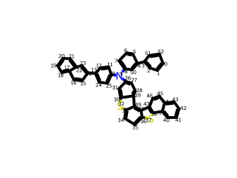 c1ccc(-c2cccc(N(c3ccc(-c4ccc5ccccc5c4)cc3)c3ccc4c(c3)sc3ccc5sc6c7ccccc7ccc6c5c34)c2)cc1